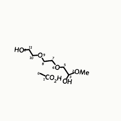 CC(=O)O.COC(O)COCCOCCO